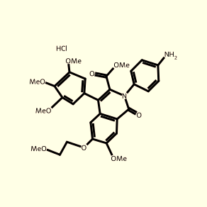 COCCOc1cc2c(-c3cc(OC)c(OC)c(OC)c3)c(C(=O)OC)n(-c3ccc(N)cc3)c(=O)c2cc1OC.Cl